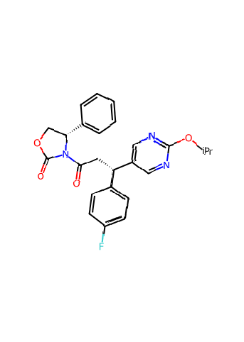 CC(C)Oc1ncc([C@@H](CC(=O)N2C(=O)OC[C@@H]2c2ccccc2)c2ccc(F)cc2)cn1